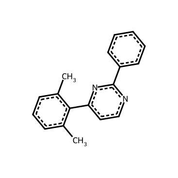 Cc1cccc(C)c1-c1ccnc(-c2ccccc2)n1